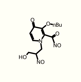 CCCCOc1c(C(=O)N=O)n(CC(CO)N=O)ccc1=O